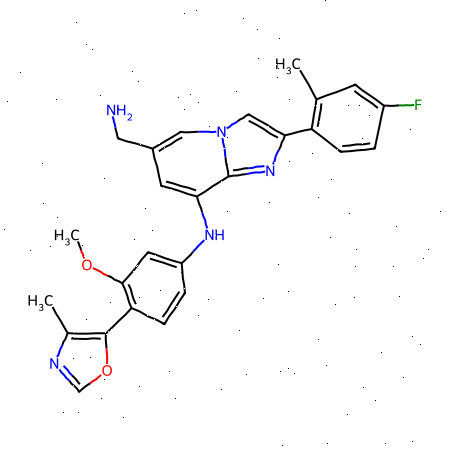 COc1cc(Nc2cc(CN)cn3cc(-c4ccc(F)cc4C)nc23)ccc1-c1ocnc1C